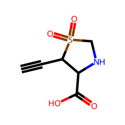 C#CC1C(C(=O)O)NCS1(=O)=O